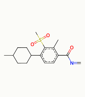 C=NC(=O)c1ccc(C2CCC(C)CC2)c(S(C)(=O)=O)c1C